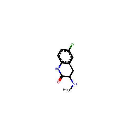 O=C(O)NC1Cc2cc(Br)ccc2NC1=O